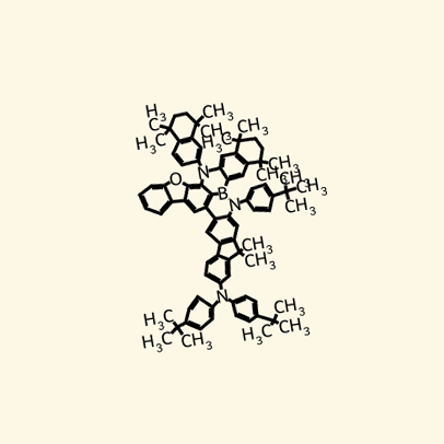 CC(C)(C)c1ccc(N2B3c4cc5c(cc4N(c4ccc6c(c4)C(C)(C)CCC6(C)C)c4c3c(cc3c4oc4ccccc43)-c3cc4c(cc32)C(C)(C)c2cc(N(c3ccc(C(C)(C)C)cc3)c3ccc(C(C)(C)C)cc3)ccc2-4)C(C)(C)CCC5(C)C)cc1